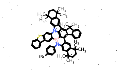 CC(C)(C)c1ccc(N2B3c4cc5c(cc4-n4c6cc7c(cc6c6c8c(c(c3c64)-c3cc4c(cc32)C(C)(C)CCC4(C)C)-c2ccccc2C8(C)C)C(C)(C)CCC7(C)C)sc2ccccc25)cc1